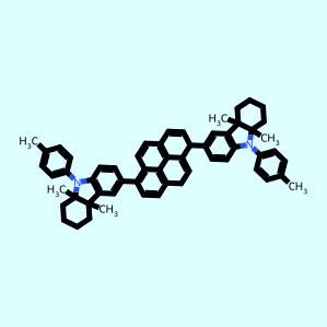 Cc1ccc(N2c3ccc(-c4ccc5c6c7c(ccc46)C=CC(c4ccc6c(c4)C4(C)CCCCC4(C)N6c4ccc(C)cc4)C7=CC5)cc3C3(C)CCCCC23C)cc1